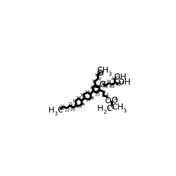 C=C(C)C(=O)OCCCc1cc(C2CCC(C3CCC(CCCCC)CC3)CC2)cc(CCCOC)c1OCCCC(CO)CO